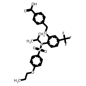 CCCOc1ccc(S(=O)(=O)N(c2ccc(C(F)(F)F)cc2OCc2ccc(C(=O)O)cc2)C(C)C)cc1